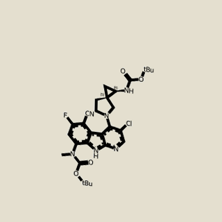 CN(C(=O)OC(C)(C)C)c1cc(F)c(C#N)c2c1[nH]c1ncc(Cl)c(N3CC[C@]4(C[C@H]4NC(=O)OC(C)(C)C)C3)c12